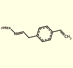 C=Cc1ccc(CC=NCCCCCC)cc1